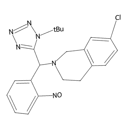 CC(C)(C)n1nnnc1C(c1ccccc1N=O)N1CCc2ccc(Cl)cc2C1